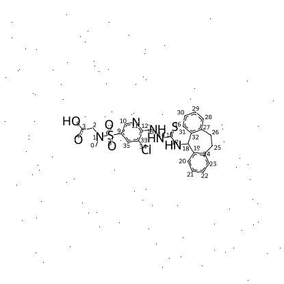 CN(CC(=O)O)S(=O)(=O)c1cnc(NNC(=S)NC2c3ccccc3CCc3ccccc32)c(Cl)c1